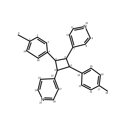 Cc1ccc(C2C(c3ccncc3)C(c3ccc(C)cc3)C2c2ccncc2)cc1